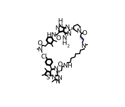 Cc1sc2c(c1C)C(c1ccc(Cl)cc1)=N[C@@H](CC(=O)NCCCCCCCCN(C)C/C=C/C(=O)N1CCC[C@@H](c3nc(N)c4c(C(=O)Nc5ccc(CC(=O)N(C)C)c(C)c5C)n[nH]c4n3)C1)c1nnc(C)n1-2